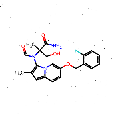 Cc1cc2ccc(OCc3ccccc3F)cn2c1N(C=O)C(C)(CO)C(N)=O